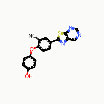 N#Cc1cc(-c2nc3cncnc3s2)ccc1Oc1ccc(O)cc1